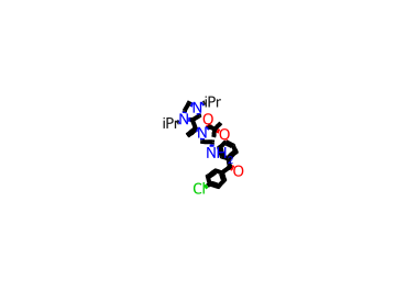 C=C(C1CN(C(C)C)CCN1C(C)C)N(CCN)C(=O)C(C)(C)Oc1ccc(C(=O)c2ccc(Cl)cc2)cc1